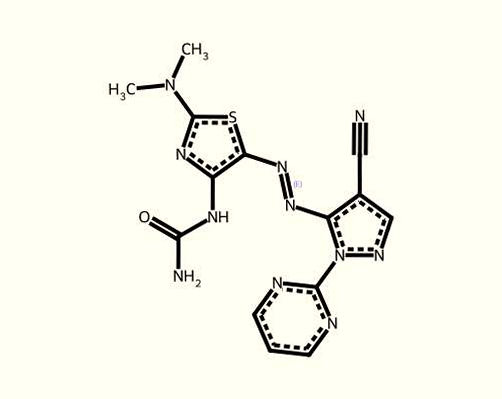 CN(C)c1nc(NC(N)=O)c(/N=N/c2c(C#N)cnn2-c2ncccn2)s1